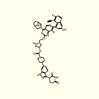 C#Cc1c(F)ccc2cc(O)cc(-c3ncc4c(N5CC6CCC(C5)N6)nc(OCC5C[C@@H](OC(=O)N6CCC(c7ccc8c(C9CCC(=O)NC9=O)nn(C)c8c7)CC6)CN5C)nc4c3F)c12